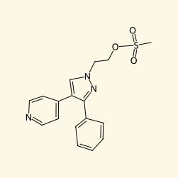 CS(=O)(=O)OCCn1cc(-c2ccncc2)c(-c2ccccc2)n1